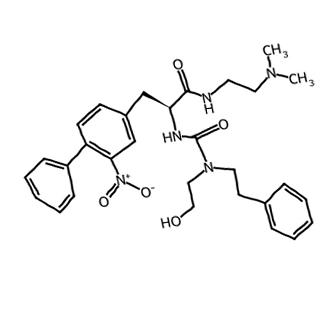 CN(C)CCNC(=O)[C@H](Cc1ccc(-c2ccccc2)c([N+](=O)[O-])c1)NC(=O)N(CCO)CCc1ccccc1